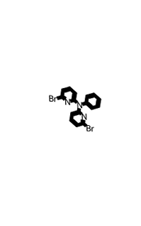 Brc1cccc(N(c2ccccc2)c2cccc(Br)n2)n1